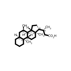 C[C@H](CC(=O)O)[C@H]1CC[C@H]2[C@@H]3[C@H](O)C[C@@H]4CCCC[C@]4(C)[C@H]3CC[C@]12C